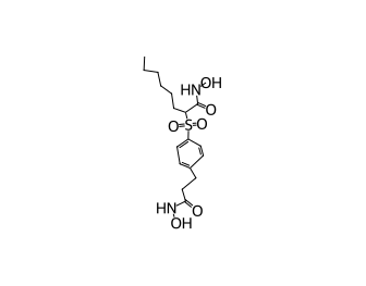 CCCCCCC(C(=O)NO)S(=O)(=O)c1ccc(CCC(=O)NO)cc1